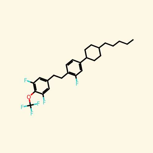 CCCCCC1CCC(c2ccc(CCc3cc(F)c(OC(F)(F)F)c(F)c3)c(F)c2)CC1